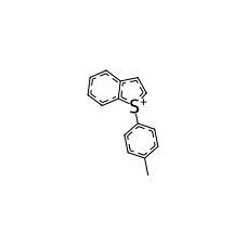 Cc1ccc(-[s+]2ccc3ccccc32)cc1